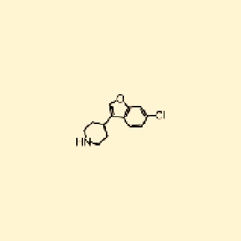 Clc1ccc2c(C3CCNCC3)coc2c1